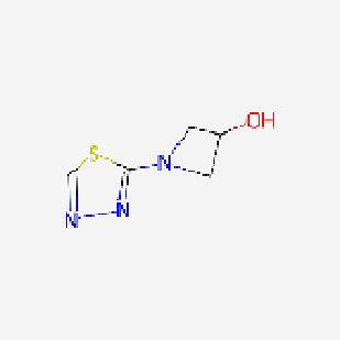 OC1CN(c2nncs2)C1